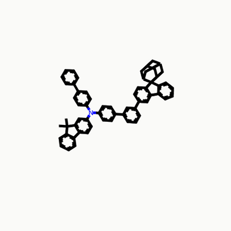 CC1(C)c2ccccc2-c2ccc(N(c3ccc(-c4ccccc4)cc3)c3ccc(-c4cccc(-c5ccc6c(c5)-c5ccccc5C65C6CC7CC(C6)CC5C7)c4)cc3)cc21